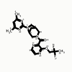 Cc1cc(C)nc(N2CC3CC2CN(C(=O)c2nccnc2OCC(C)(F)F)C3)n1